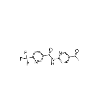 CC(=O)c1ccc(NC(=O)c2ccc(C(F)(F)F)nc2)nc1